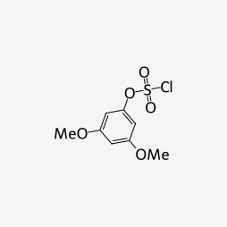 COc1cc(OC)cc(OS(=O)(=O)Cl)c1